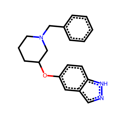 c1ccc(CN2CCCC(Oc3ccc4[nH]ncc4c3)C2)cc1